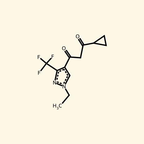 CCn1cc(C(=O)CC(=O)C2CC2)c(C(F)(F)F)n1